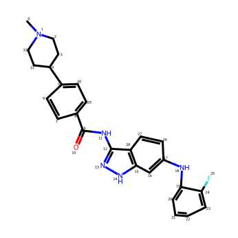 CN1CCC(c2ccc(C(=O)Nc3n[nH]c4cc(Nc5ccccc5F)ccc34)cc2)CC1